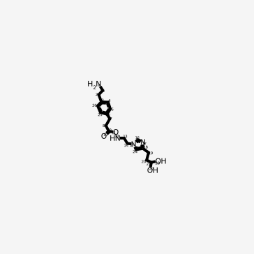 NCCc1ccc(CCC(=O)ONCCn2cnc(CCC(O)O)c2)cc1